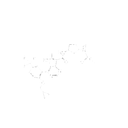 CCC(=O)N[C@H]1CC[C@H](NC(=O)c2c(C)[nH]c3c(-c4cc(C(F)(F)F)ccc4OCC4CC4)ncnc23)C1